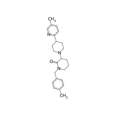 Cc1ccc(CN2CCCC(N3CCC(c4ccc(C)cn4)CC3)C2=O)cc1